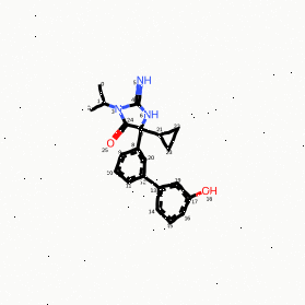 CC(C)N1C(=N)NC(c2cccc(-c3cccc(O)c3)c2)(C2CC2)C1=O